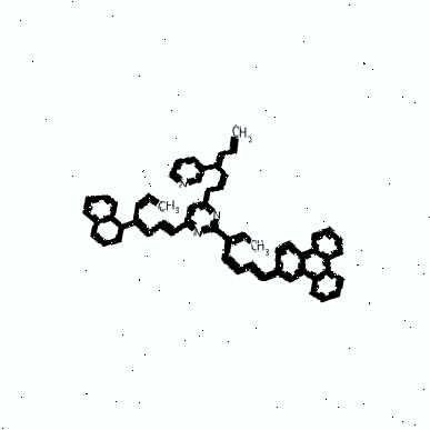 C=C/C=C(\C=C/Cc1cc(/C=C/C=C(\C=C/C)C2CC=Cc3ccccc32)nc(C(/C=C\C=C\c2ccc3c4ccccc4c4ccccc4c3c2)=C/C)n1)c1cccnc1